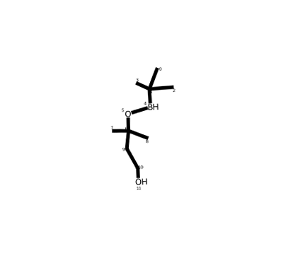 CC(C)(C)BOC(C)(C)CCO